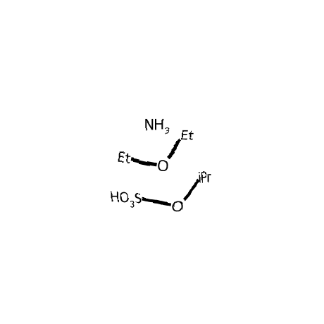 CC(C)OS(=O)(=O)O.CCOCC.N